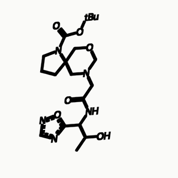 CC(O)C(NC(=O)CN1COCC2(CCCN2C(=O)OC(C)(C)C)C1)c1ncno1